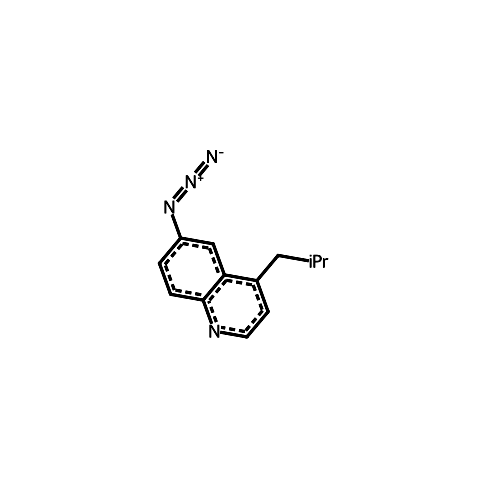 CC(C)Cc1ccnc2ccc(N=[N+]=[N-])cc12